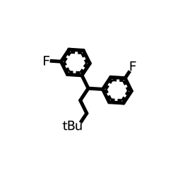 CC(C)(C)CCC(c1cccc(F)c1)c1cccc(F)c1